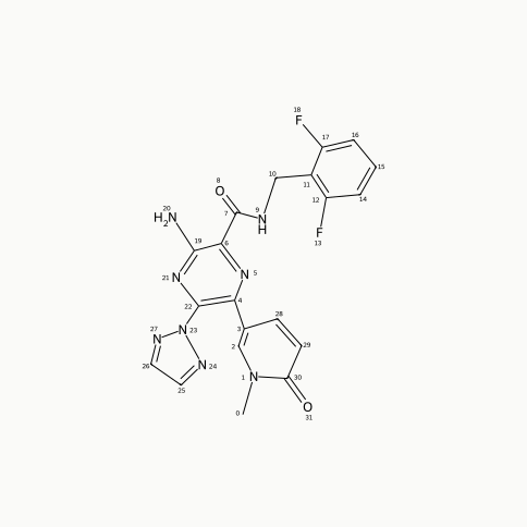 Cn1cc(-c2nc(C(=O)NCc3c(F)cccc3F)c(N)nc2-n2nccn2)ccc1=O